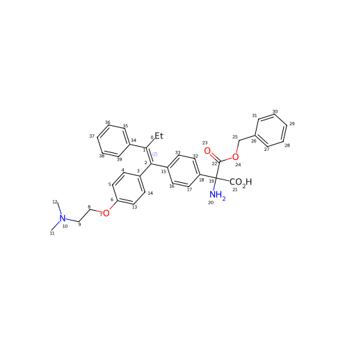 CC/C(=C(/c1ccc(OCCN(C)C)cc1)c1ccc(C(N)(C(=O)O)C(=O)OCc2ccccc2)cc1)c1ccccc1